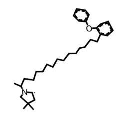 CC(CCCCCCCCCCCCCCc1ccccc1Oc1ccccc1)N1[CH]CC(C)(C)C1